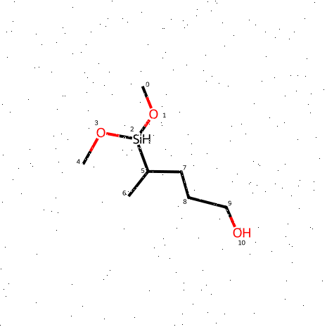 CO[SiH](OC)C(C)CCCO